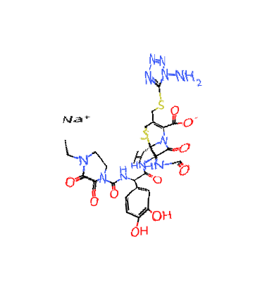 CCN1CCN(C(=O)NC(C(=O)N[C@]2(NC=O)C(=O)N3C(C(=O)[O-])=C(CSc4nnnn4N)CS[C@@H]32)c2ccc(O)c(O)c2)C(=O)C1=O.[Na+]